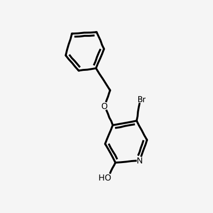 Oc1cc(OCc2ccccc2)c(Br)cn1